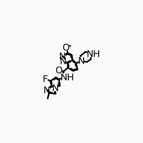 COc1cc2c(N3CCNCC3)ccc(C(=O)Nc3cc(F)c4nc(C)cn4c3)c2nn1